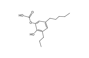 CCCCCc1cc(CCC)c(O)c(OC(=O)O)c1